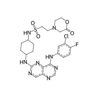 O=C1CN(CCS(=O)(=O)NC2CCC(Nc3ncc4ncnc(Nc5ccc(F)c(Cl)c5)c4n3)CC2)CCO1